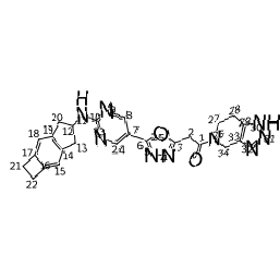 O=C(Cc1nnc(-c2cnc(NC3Cc4cc5c(cc4C3)CC5)nc2)o1)N1CCc2[nH]nnc2C1